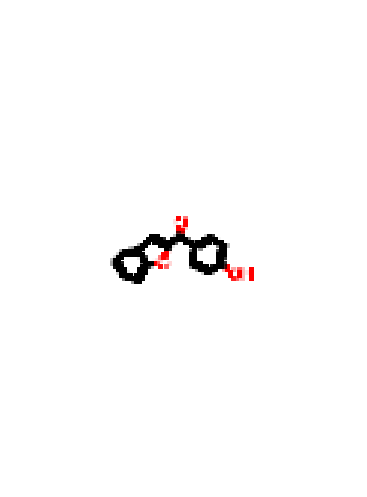 O=C(c1ccc(O)cc1)c1cc2ccccc2o1